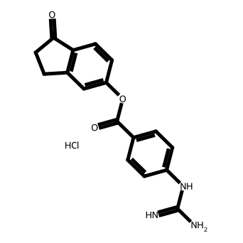 Cl.N=C(N)Nc1ccc(C(=O)Oc2ccc3c(c2)CCC3=O)cc1